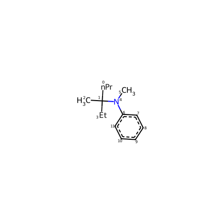 CCCC(C)(CC)N(C)c1ccccc1